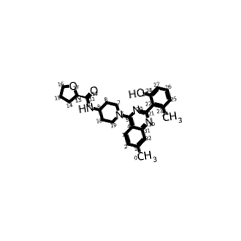 Cc1ccc2c(N3CCC(NC(=O)[C@H]4CCCO4)CC3)nc(-c3c(C)cccc3O)nc2c1